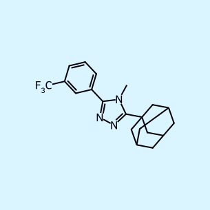 Cn1c(-c2cccc(C(F)(F)F)c2)nnc1C12CC3CC(CC(C3)C1)C2